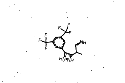 CC(C=N)c1[nH][nH]c1-c1cc(C(F)(F)F)cc(C(F)(F)F)c1